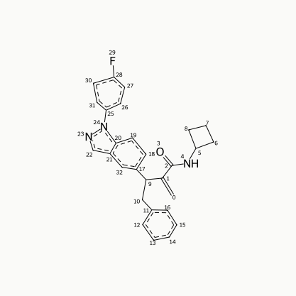 C=C(C(=O)NC1CCC1)C(Cc1ccccc1)c1ccc2c(cnn2-c2ccc(F)cc2)c1